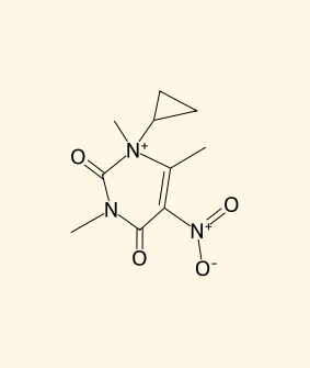 CC1=C([N+](=O)[O-])C(=O)N(C)C(=O)[N+]1(C)C1CC1